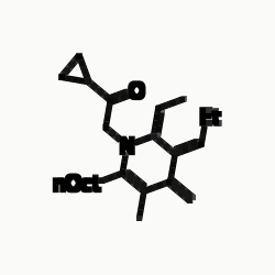 C=C1C(C)=C(CCCCCCCC)N(CC(=O)C2CC2)C(=C/C)/C1=C\CC